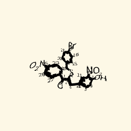 O=C(C(=Cc1ccc(O)c([N+](=O)[O-])c1)SCc1ccc(Br)cc1)c1ccc([N+](=O)[O-])cc1